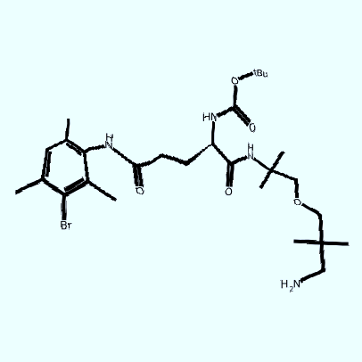 Cc1cc(C)c(NC(=O)CC[C@@H](NC(=O)OC(C)(C)C)C(=O)NC(C)(C)COCC(C)(C)CN)c(C)c1Br